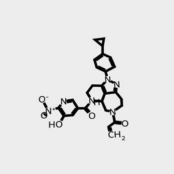 C=CC(=O)N1CCc2nn(-c3ccc(C4CC4)cc3)c3c2[C@@H](C1)N(C(=O)c1cnc([N+](=O)[O-])c(O)c1)CC3